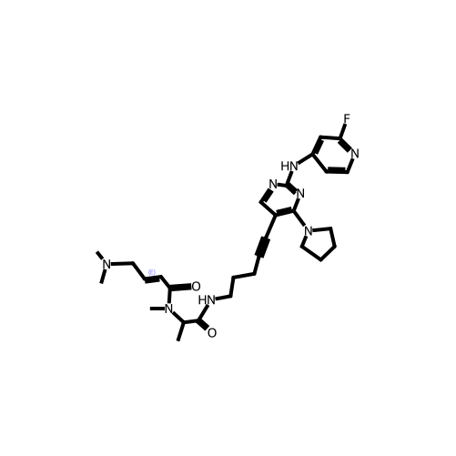 CC(C(=O)NCCCC#Cc1cnc(Nc2ccnc(F)c2)nc1N1CCCC1)N(C)C(=O)/C=C/CN(C)C